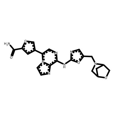 NC(=O)c1cc(-c2cnc(Nc3ncc(CN4CC5CC4CO5)o3)c3nccn23)co1